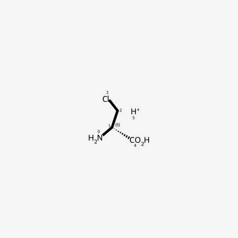 N[C@H](CCl)C(=O)O.[H+]